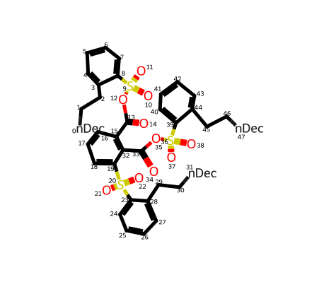 CCCCCCCCCCCCc1ccccc1S(=O)(=O)OC(=O)c1cccc(S(=O)(=O)c2ccccc2CCCCCCCCCCCC)c1C(=O)OS(=O)(=O)c1ccccc1CCCCCCCCCCCC